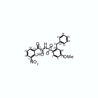 COc1ccc(S(=O)(=O)NN(O)C(=O)c2cccc([N+](=O)[O-])c2)c(Cc2ccccc2)c1